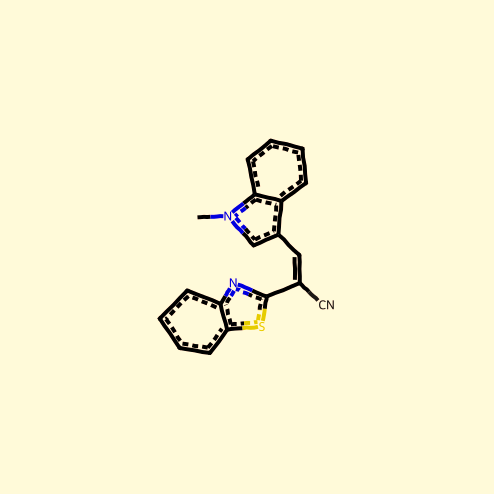 Cn1cc(C=C(C#N)c2nc3ccccc3s2)c2ccccc21